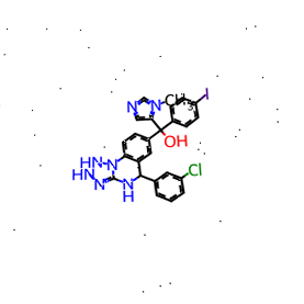 Cn1cncc1C(O)(c1ccc(I)cc1)c1ccc2c(c1)C(c1cccc(Cl)c1)NC1=NNNN12